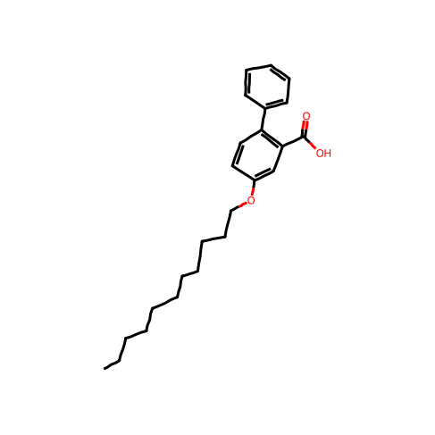 CCCCCCCCCCCOc1ccc(-c2ccccc2)c(C(=O)O)c1